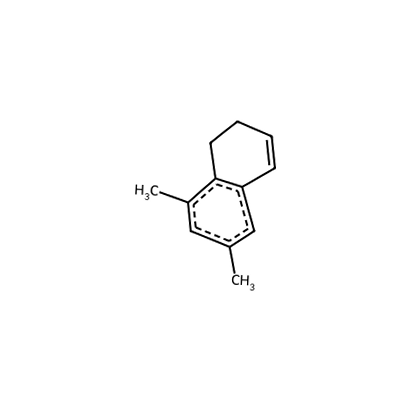 Cc1cc(C)c2c(c1)C=CCC2